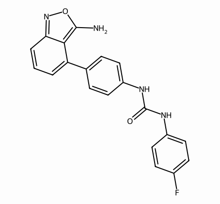 Nc1onc2cccc(-c3ccc(NC(=O)Nc4ccc(F)cc4)cc3)c12